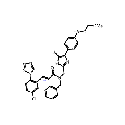 COCONc1ccc(-c2nc(CN(Cc3ccccc3)C(=O)/C=C/c3cc(Cl)ccc3-n3cnnn3)[nH]c2Cl)cc1